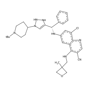 CC1(CNc2c(C#N)cnc3c(Cl)cc(N[C@H](C4=CN(C5CCN(C(C)(C)C)CC5)NN4)c4ccccc4)cc23)COC1